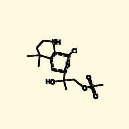 CC1(C)CCNc2c1cc(C(C)(O)COS(C)(=O)=O)nc2Cl